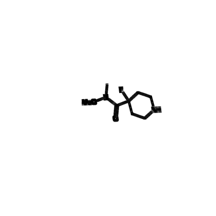 CON(C)C(=O)C1(F)CCNCC1